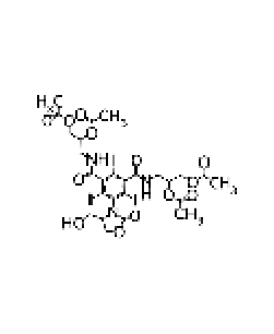 CC(=O)OCC(CNC(=O)c1c(I)c(C(=O)NCC(COC(C)=O)OC(C)=O)c(I)c(N2C(=O)OCC2CO)c1I)OC(C)=O